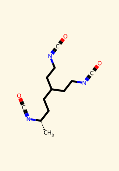 C[C@@H](CCC(CCN=C=O)CCN=C=O)N=C=O